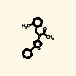 CC(=O)N(Cc1ccccc1C)c1csc(-c2ccccc2)c1